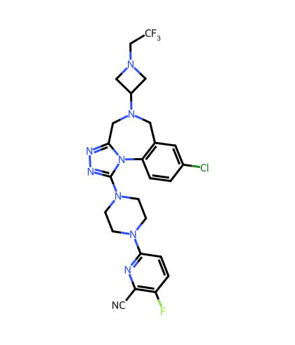 N#Cc1nc(N2CCN(c3nnc4n3-c3ccc(Cl)cc3CN(C3CN(CC(F)(F)F)C3)C4)CC2)ccc1F